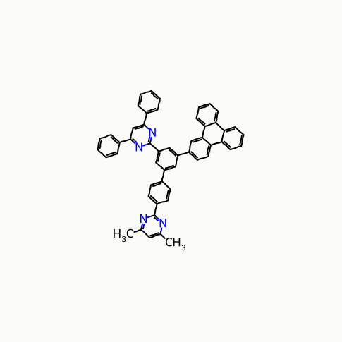 Cc1cc(C)nc(-c2ccc(-c3cc(-c4ccc5c6ccccc6c6ccccc6c5c4)cc(-c4nc(-c5ccccc5)cc(-c5ccccc5)n4)c3)cc2)n1